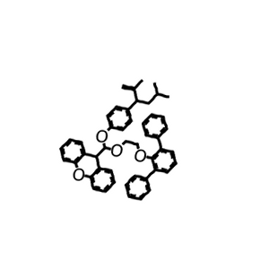 C=C(C)C(CC(C)C)c1ccc(OC(OCCOc2c(-c3ccccc3)cccc2-c2ccccc2)C2c3ccccc3Oc3ccccc32)cc1